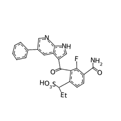 CCC(c1ccc(C(N)=O)c(F)c1C(=O)c1c[nH]c2ncc(-c3ccccc3)cc12)S(=O)(=O)O